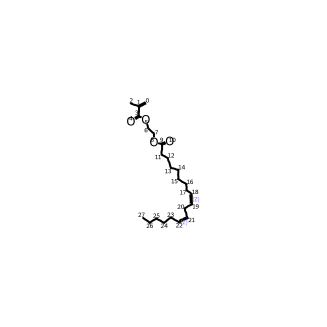 C=C(C)C(=O)OCCOC(=O)CCCCCCC/C=C\C/C=C\CCCCC